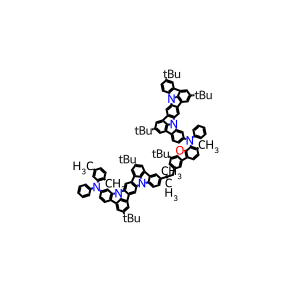 Cc1ccc(C)c(N(c2ccccc2)c2ccc3c4cc(C(C)(C)C)cc5c6cc7c(cc6n(c3c2)c45)c2cc(C(C)(C)C)cc3c4cc(C(C)(C)Cc5cc(C(C)(C)C)c6oc8c(N(c9ccccc9)c9ccc%10c%11cc(C(C)(C)C)cc%12c%13cc%14c(cc%13n(c%10c9)c%11%12)c9cc(C(C)(C)C)cc%10c%11cc(C(C)(C)C)ccc%11n%14c%109)c(C)ccc8c6c5)ccc4n7c32)c1